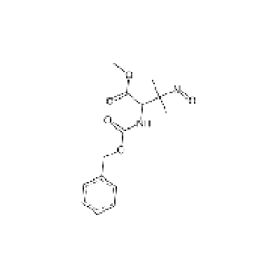 COC(=O)C(NC(=O)OCc1ccccc1)C(C)(C)N=O